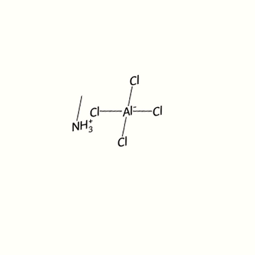 C[NH3+].[Cl][Al-]([Cl])([Cl])[Cl]